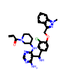 C=CC(=O)N1CCCC(Nc2ncnc(N)c2C(=N)c2ccc(OCc3nn(C)c4ccccc34)c(Cl)c2)C1